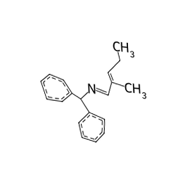 CCC=C(C)C=NC(c1ccccc1)c1ccccc1